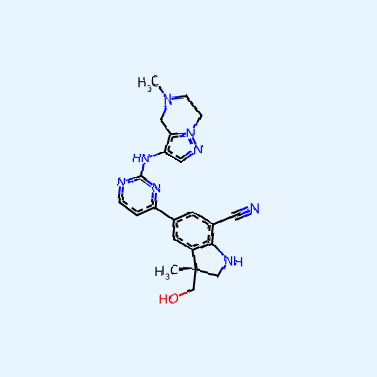 CN1CCn2ncc(Nc3nccc(-c4cc(C#N)c5c(c4)[C@@](C)(CO)CN5)n3)c2C1